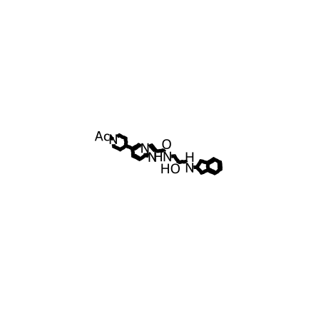 CC(=O)N1CCC(c2ccc3nc(C(=O)NCC(O)CNC4Cc5ccccc5C4)cn3c2)CC1